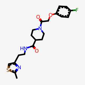 Cc1nc(CCNC(=O)C2CCN(C(=O)COc3ccc(F)cc3)CC2)cs1